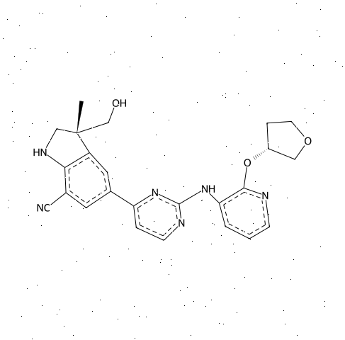 C[C@]1(CO)CNc2c(C#N)cc(-c3ccnc(Nc4cccnc4O[C@@H]4CCOC4)n3)cc21